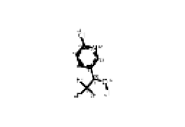 FC(F)(F)[C@H](OI)c1ccc(Cl)nc1